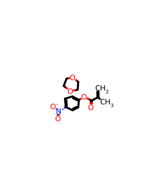 C1COCCO1.C=C(C)C(=O)Oc1ccc([N+](=O)[O-])cc1